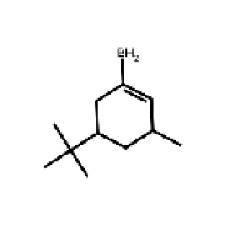 BC1=CC(C)CC(C(C)(C)C)C1